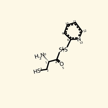 N[C@@H](CS)C(=O)SSc1ccccn1